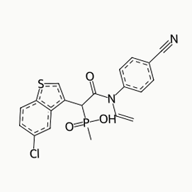 C=CN(C(=O)C(c1csc2ccc(Cl)cc12)P(C)(=O)O)c1ccc(C#N)cc1